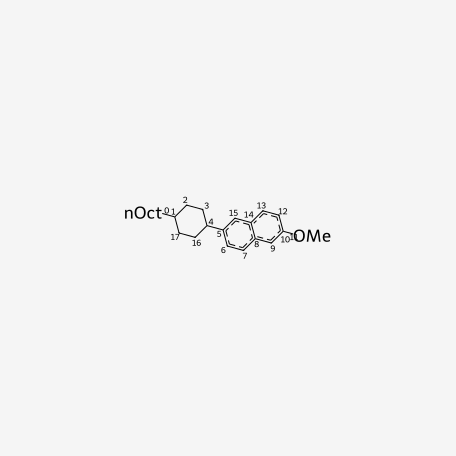 CCCCCCCCC1CCC(c2ccc3cc(OC)ccc3c2)CC1